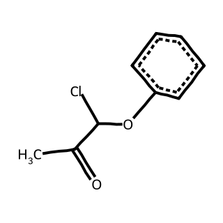 CC(=O)C(Cl)Oc1ccccc1